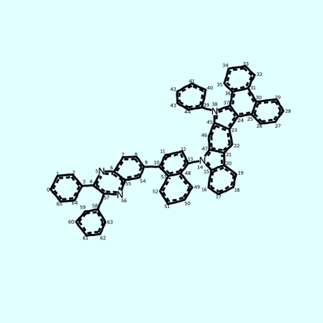 c1ccc(-c2nc3ccc(-c4ccc(-n5c6ccccc6c6cc7c8c9ccccc9c9ccccc9c8n(-c8ccccc8)c7cc65)c5ccccc45)cc3nc2-c2ccccc2)cc1